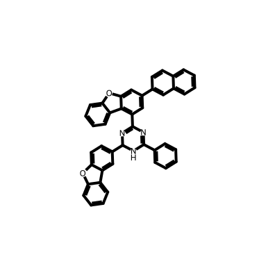 c1ccc(C2=NC(c3cc(-c4ccc5ccccc5c4)cc4oc5ccccc5c34)=NC(c3ccc4oc5ccccc5c4c3)N2)cc1